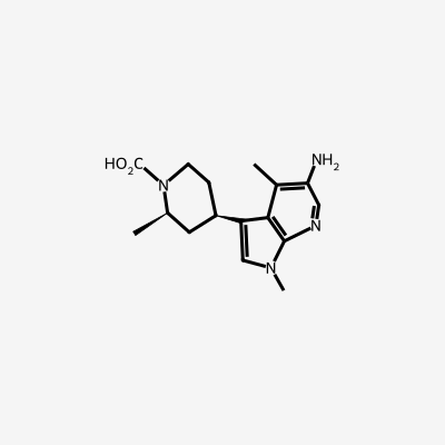 Cc1c(N)cnc2c1c([C@@H]1CCN(C(=O)O)[C@H](C)C1)cn2C